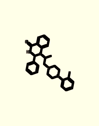 Cc1ccccc1N1CCN(CC(C)N2c3ccccc3C(=O)NC2c2ccccc2)CC1